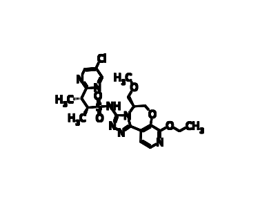 CCOc1nccc2c1OC[C@H](COC)n1c(NS(=O)(=O)[C@@H](C)[C@H](C)c3ncc(Cl)cn3)nnc1-2